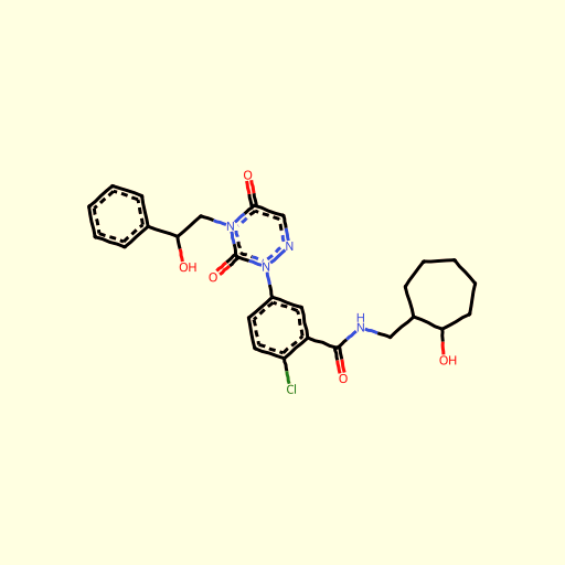 O=C(NCC1CCCCCC1O)c1cc(-n2ncc(=O)n(CC(O)c3ccccc3)c2=O)ccc1Cl